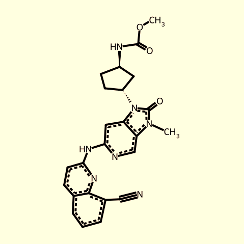 COC(=O)N[C@@H]1CC[C@@H](n2c(=O)n(C)c3cnc(Nc4ccc5cccc(C#N)c5n4)cc32)C1